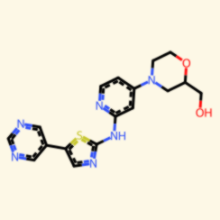 OCC1CN(c2ccnc(Nc3ncc(-c4cncnc4)s3)c2)CCO1